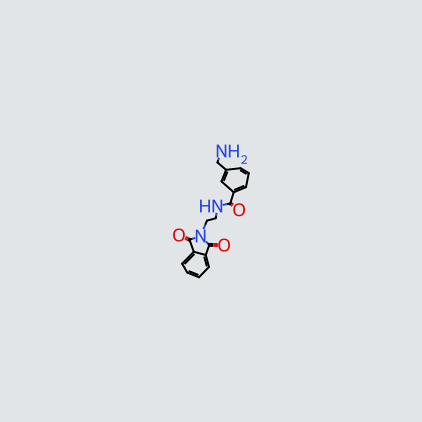 NCc1cccc(C(=O)NCCN2C(=O)c3ccccc3C2=O)c1